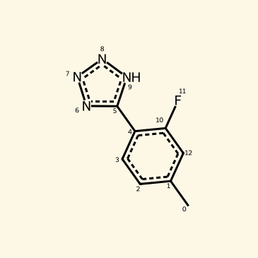 Cc1ccc(-c2nnn[nH]2)c(F)c1